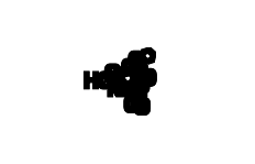 COC(=O)Oc1ccc(C(C(C)COC(=O)OC2CCCCC2)[C@H](N)C(=O)O)cc1OC(=O)OC